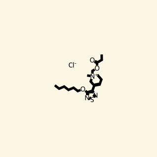 CCCCCCOc1nsnc1C1=CCC[N+](C)(COC(=O)CC)C1.[Cl-]